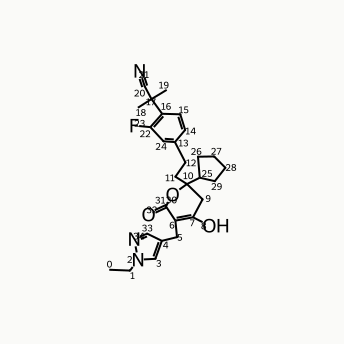 CCn1cc(CC2=C(O)CC(CCc3ccc(C(C)(C)C#N)c(F)c3)(C3CCCC3)OC2=O)cn1